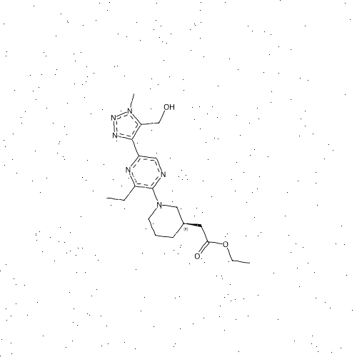 CCOC(=O)C[C@H]1CCCN(c2ncc(-c3nnn(C)c3CO)nc2CC)C1